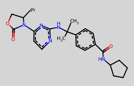 CC(C)C1COC(=O)N1c1ccnc(NC(C)(C)c2ccc(C(=O)NC3CCCC3)cc2)n1